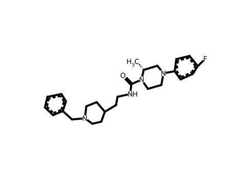 C[C@@H]1CN(c2ccc(F)cc2)CCN1C(=O)NCCC1CCN(Cc2ccccc2)CC1